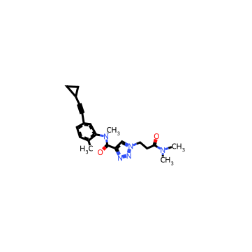 Cc1ccc(C#CC2CC2)cc1N(C)C(=O)c1cn(CCC(=O)N(C)C)nn1